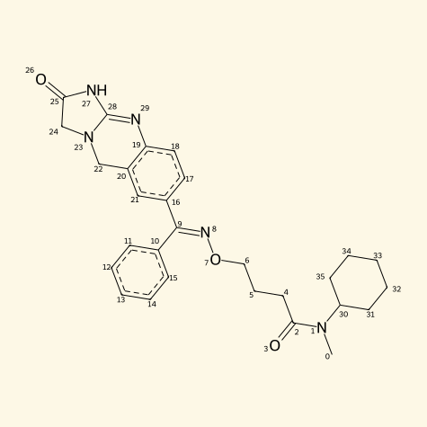 CN(C(=O)CCCON=C(c1ccccc1)c1ccc2c(c1)CN1CC(=O)NC1=N2)C1CCCCC1